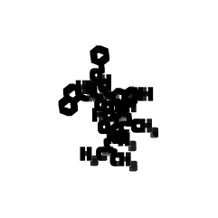 CC[C@H](C)CNC(=O)C[C@H](O)[C@H](CC(C)C)NC(=O)[C@H](Cc1c[nH]cn1)NC(=O)[C@H](Cc1cccc2ccccc12)NC(=O)OCc1ccccc1